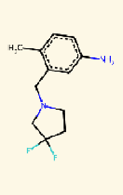 Cc1ccc(N)cc1CN1CCC(F)(F)C1